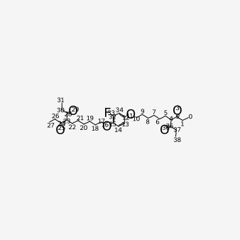 CCC(=O)C(CCCCCCOc1ccc(OCCCCCCC(C(=O)CC)C(=O)CC)c(F)c1)C(=O)CC